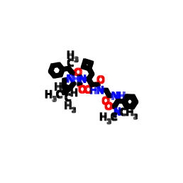 C[C@H](C(=O)N1C[C@H]2[C@@H]([C@H]1C(=O)NC(CC1CCC1)C(=O)C(=O)NCC(=O)N[C@H](C(=O)N(C)C)c1ccccc1)C2(C)C)C1CCCCC1